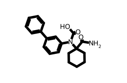 NC(=O)C1(N(C(=O)O)c2cccc(-c3ccccc3)c2)CCCCC1